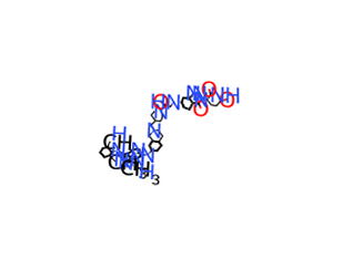 Cc1cccc(C)c1Nc1nn(C)c2nc(Nc3ccc4c(c3)CN(CC3CCN(C(=O)CNc5ccc6c(=O)n(C7CCC(=O)NC7=O)nnc6c5)CC3)CC4)ncc12